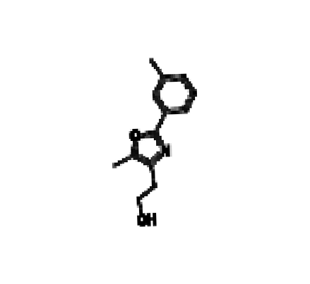 Cc1cccc(-c2nc(CCO)c(C)o2)c1